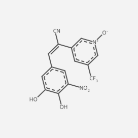 N#CC(=Cc1cc(O)c(O)c([N+](=O)[O-])c1)c1cc(C(F)(F)F)c[n+]([O-])c1